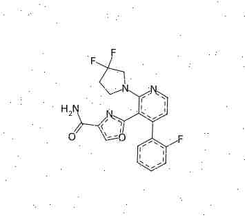 NC(=O)c1coc(-c2c(-c3ccccc3F)ccnc2N2CCC(F)(F)C2)n1